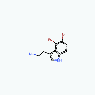 NCCc1c[nH]c2ccc(Br)c(Br)c12